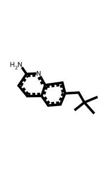 CC(C)(C)Cc1ccc2ccc(N)nc2c1